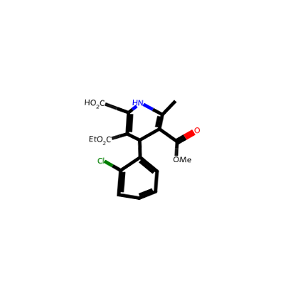 CCOC(=O)C1=C(C(=O)O)NC(C)=C(C(=O)OC)C1c1ccccc1Cl